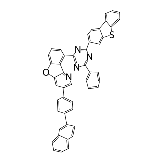 c1ccc(-c2nc(-c3ccc4c(c3)sc3ccccc34)nc(-c3cccc4oc5cc(-c6ccc(-c7ccc8ccccc8c7)cc6)cnc5c34)n2)cc1